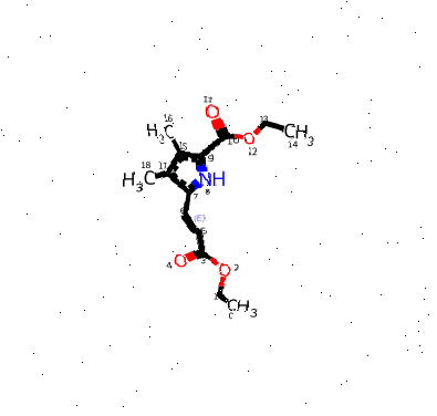 CCOC(=O)/C=C/c1[nH]c(C(=O)OCC)c(C)c1C